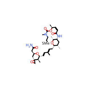 CSCCN(C)C(=O)O[C@@H](C)/C=C\C(=O)N[C@@H]1C[C@H](C)[C@H](C/C=C(C)/C=C/[C@H]2O[C@H](CC(N)=O)C[C@@]3(CO3)[C@@H]2C)O[C@@H]1C